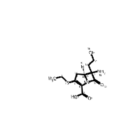 CCSC1=C(C(=O)O)N2C(=O)C(N)(CCO)[C@@H]2C1